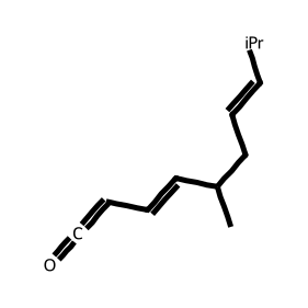 CC(C)C=CCC(C)C=CC=C=O